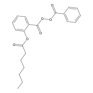 CCCCCCC(=O)Oc1ccccc1C(=O)OOC(=O)c1ccccc1